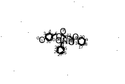 COc1ccc(COC(=O)[C@H](CC(=O)OC2CCCCC2)NC(=O)c2ccccc2)cc1